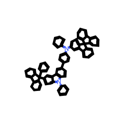 C1=CC2=C(CC1)c1ccccc1C2(c1ccccc1)c1ccc2c(c1)c1cc(-c3ccc(N(c4ccccc4)c4ccc5c(c4)-c4ccccc4C54c5ccccc5-c5ccccc54)cc3)ccc1n2-c1ccccc1